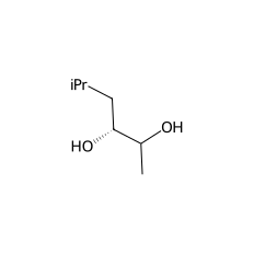 CC(C)C[C@@H](O)C(C)O